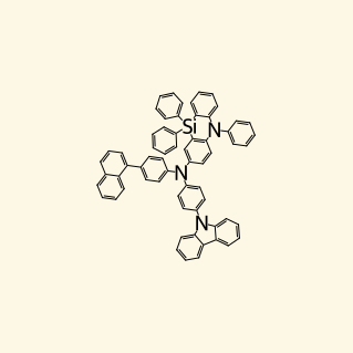 c1ccc(N2c3ccccc3[Si](c3ccccc3)(c3ccccc3)c3cc(N(c4ccc(-c5cccc6ccccc56)cc4)c4ccc(-n5c6ccccc6c6ccccc65)cc4)ccc32)cc1